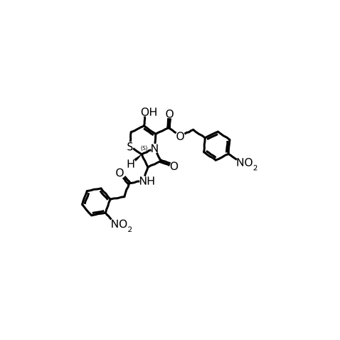 O=C(Cc1ccccc1[N+](=O)[O-])NC1C(=O)N2C(C(=O)OCc3ccc([N+](=O)[O-])cc3)=C(O)CS[C@@H]12